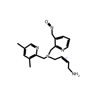 Cc1cnc(CN(C/C=C\CN)Cc2ncccc2CN=O)c(C)c1